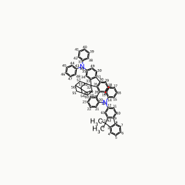 CC1(C)c2ccccc2-c2ccc(N(c3ccccc3)c3ccccc3-c3cccc4c3C3(c5cc(N(c6ccccc6)c6ccccc6)ccc5-4)C4CC5CC(C4)CC3C5)cc21